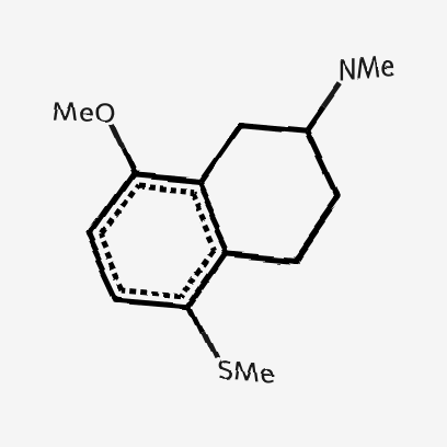 CNC1CCc2c(SC)ccc(OC)c2C1